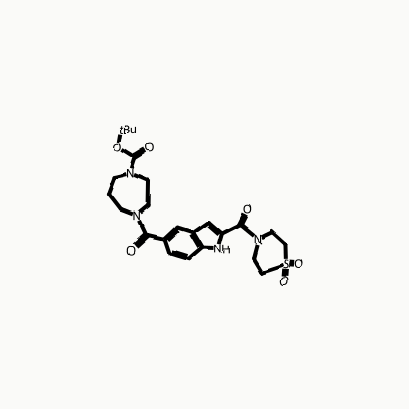 CC(C)(C)OC(=O)N1CCCN(C(=O)c2ccc3[nH]c(C(=O)N4CCS(=O)(=O)CC4)cc3c2)CC1